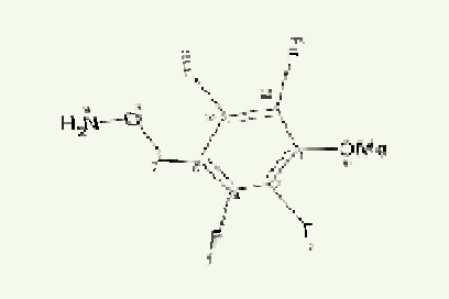 COc1c(F)c(F)c(CON)c(F)c1F